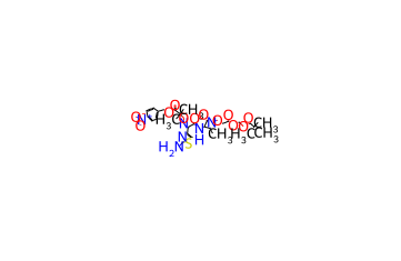 C[C@H]1[C@H](NC(=O)/C(=N\OC(C)(C)C(=O)OCc2ccc([N+](=O)[O-])cc2)c2csc(N)n2)C(=O)N1OCC(=O)OCOC(=O)C(C)(C)C